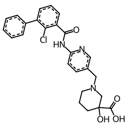 O=C(Nc1ccc(CN2CCCC(O)(C(=O)O)C2)cn1)c1cccc(-c2ccccc2)c1Cl